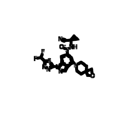 N#CC1(N[S+]([O-])c2cc(N3CCC4(CC3)COC4)c3cnn(-c4nnc(C(F)F)s4)c3c2)CC1